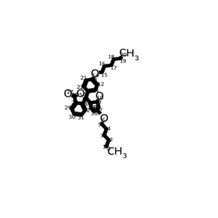 CCCCCCOC1=CC2Oc3cc(OCCCCCC)ccc3C3(OC(=O)c4ccccc43)C2C=C1